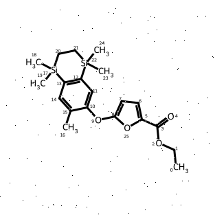 CCOC(=O)c1ccc(Oc2cc3c(cc2C)[Si](C)(C)CC[Si]3(C)C)o1